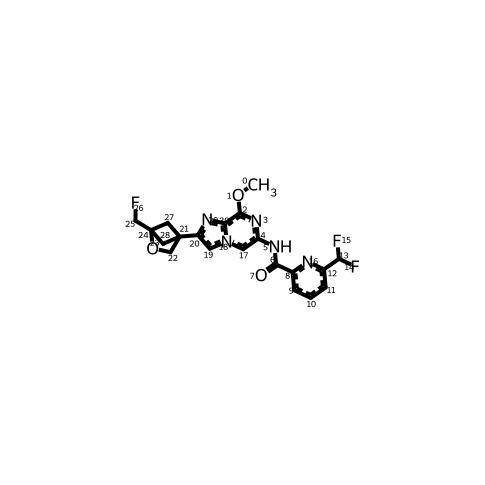 COc1nc(NC(=O)c2cccc(C(F)F)n2)cn2cc(C34COC(CF)(C3)C4)nc12